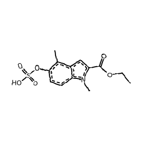 CCOC(=O)c1cc2c(C)c(OS(=O)(=O)O)ccc2n1C